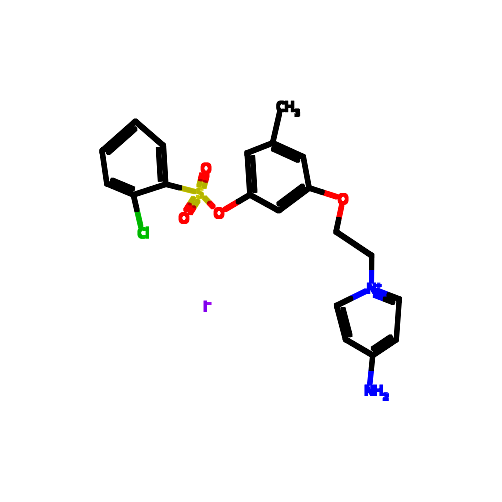 Cc1cc(OCC[n+]2ccc(N)cc2)cc(OS(=O)(=O)c2ccccc2Cl)c1.[I-]